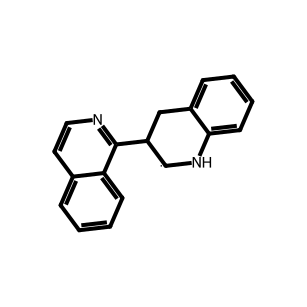 [CH]1Nc2ccccc2CC1c1nccc2ccccc12